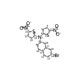 O=[N+]([O-])c1ccc(N(c2ccc3ccc(Br)cc3c2)c2ccc([N+](=O)[O-])s2)s1